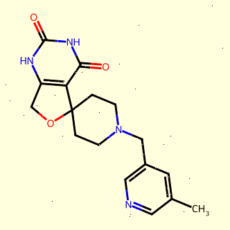 Cc1cncc(CN2CCC3(CC2)OCc2[nH]c(=O)[nH]c(=O)c23)c1